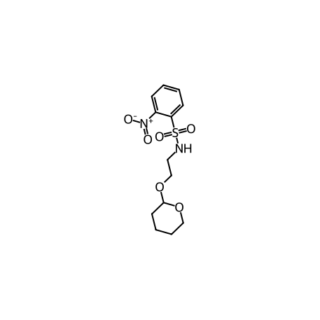 O=[N+]([O-])c1ccccc1S(=O)(=O)NCCOC1CCCCO1